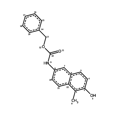 Cc1c(O)ccc2cc(NC(=O)OCc3ccccc3)ccc12